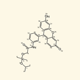 CC(C)O[Si](C)(C)OCC(=O)Nc1cccc(-c2c3ccc(=O)cc-3oc3cc(O)ccc23)c1